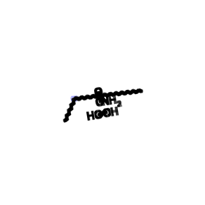 CCCCCCCC/C=C\CCCCCCCC(=O)C(CCCCCCCCCCCCCC)C(N)=O.OCCO